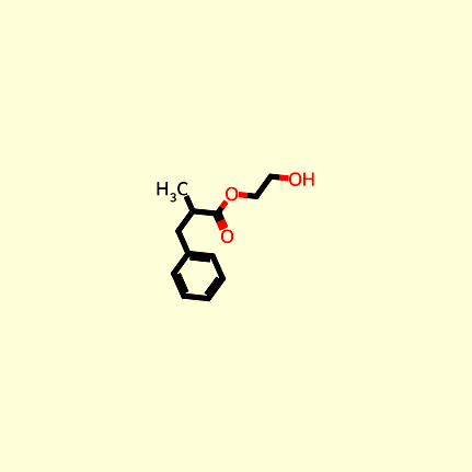 CC(Cc1ccccc1)C(=O)OCCO